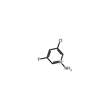 N[n+]1cc(F)cc(Cl)c1